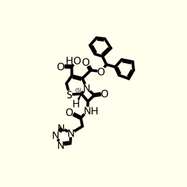 O=C(Cn1cnnn1)NC1C(=O)N2C(C(=O)OC(c3ccccc3)c3ccccc3)=C(C(=O)O)CS[C@@H]12